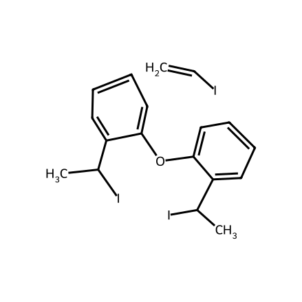 C=CI.CC(I)c1ccccc1Oc1ccccc1C(C)I